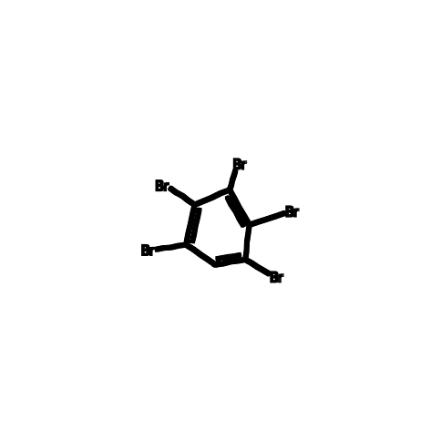 Brc1cc(Br)c(Br)c(Br)c1Br